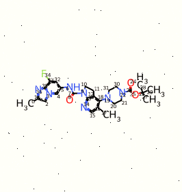 Cc1cn2cc(NC(=O)N3CCc4c3ncc(C)c4N3CCN(C(=O)OC(C)(C)C)CC3)cc(F)c2n1